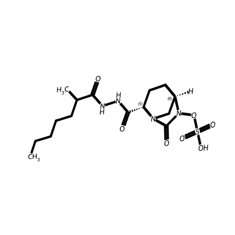 CCCCCC(C)C(=O)NNC(=O)[C@@H]1CC[C@@H]2CN1C(=O)N2OS(=O)(=O)O